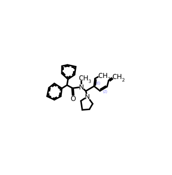 C=C/C=C\C(=C/C)C(N1CCCC1)N(C)C(=O)C(c1ccccc1)c1ccccc1